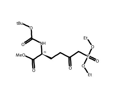 CCOP(=O)(CC(=O)CC[C@H](NC(=O)OC(C)(C)C)C(=O)OC)OCC